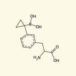 NC(Cc1cccc(C2(B(O)O)CC2)c1)C(=O)O